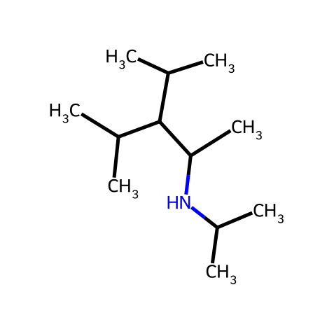 CC(C)NC(C)C(C(C)C)C(C)C